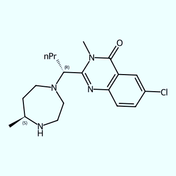 CCC[C@H](c1nc2ccc(Cl)cc2c(=O)n1C)N1CCN[C@@H](C)CC1